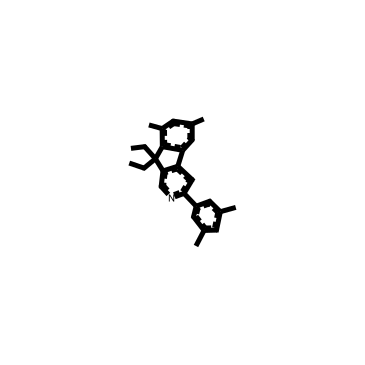 CCC1(CC)c2cnc(-c3cc(C)cc(C)c3)cc2-c2cc(C)cc(C)c21